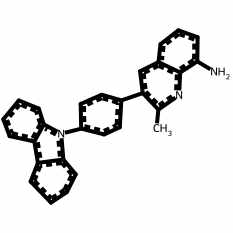 Cc1nc2c(N)cccc2cc1-c1ccc(-n2c3ccccc3c3ccccc32)cc1